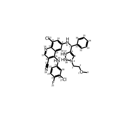 COCCN1C=C([C@@H](Nc2cc(Cl)c3ncc(C#N)c(Nc4ccc(F)c(Cl)c4)c3c2)c2ccccc2)NN1